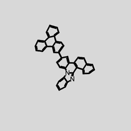 c1ccc2c(c1)ccc1c3cc(-c4ccc5c6ccccc6c6ccccc6c5c4)ccc3n3c4ccccc4nc3c21